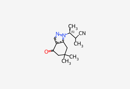 CC(C#N)[C@H](C)n1ncc2c1CC(C)(C)CC2=O